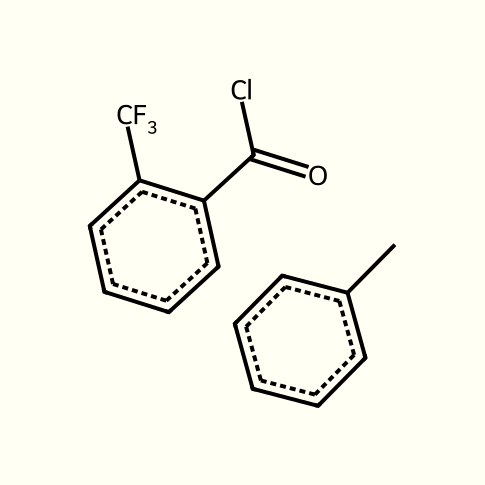 Cc1ccccc1.O=C(Cl)c1ccccc1C(F)(F)F